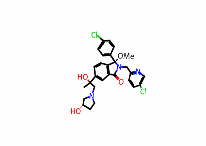 CO[C@]1(c2ccc(Cl)cc2)c2ccc(C(C)(O)CN3CC[C@H](O)C3)cc2C(=O)N1Cc1ccc(Cl)cn1